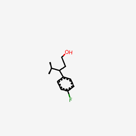 CC(C)C(CCO)c1ccc(F)cc1